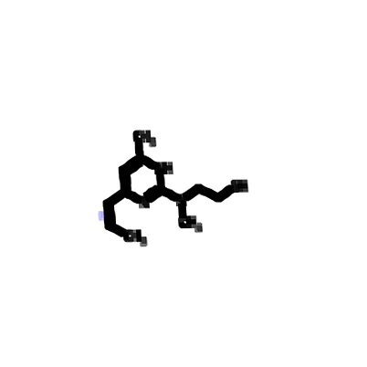 C/C=C\C1=C=C(C)NC(N(C)CCS)=N1